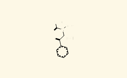 CCCCCCCCCCN(CC(=O)c1ccccc1)C(=O)CCCCC.Cl